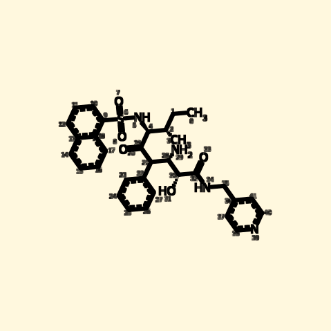 CC[C@H](C)[C@H](NS(=O)(=O)c1cccc2ccccc12)C(=O)C(c1ccccc1)[C@H](N)[C@@H](O)C(=O)NCc1ccncc1